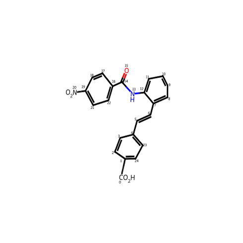 O=C(O)c1ccc(C=Cc2ccccc2NC(=O)c2ccc([N+](=O)[O-])cc2)cc1